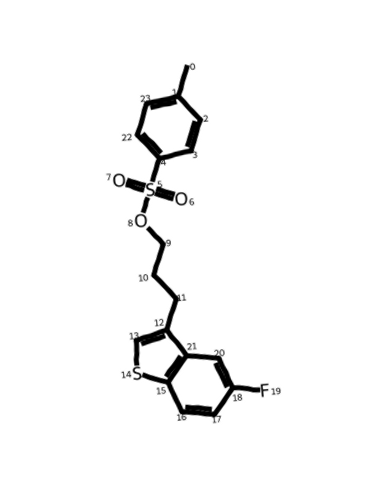 Cc1ccc(S(=O)(=O)OCCCc2csc3ccc(F)cc23)cc1